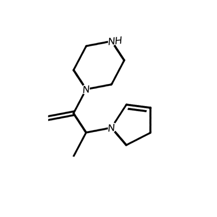 C=C(C(C)N1C=CCC1)N1CCNCC1